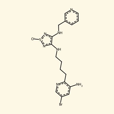 Nc1cc(Br)cnc1CCCCNc1n[s+]([O-])nc1NCc1cccnc1